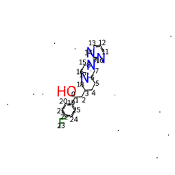 OC(CC1CCC2CN(c3ncccn3)CCN2C1)c1ccc(F)cc1